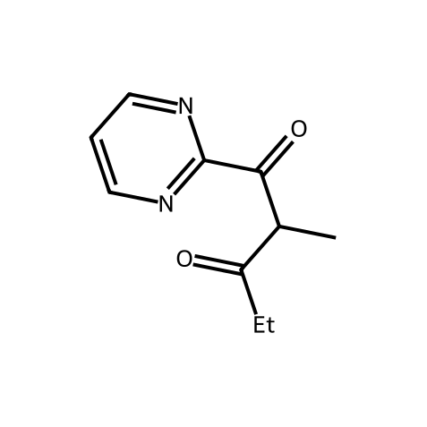 CCC(=O)C(C)C(=O)c1ncccn1